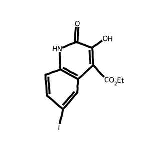 CCOC(=O)c1c(O)c(=O)[nH]c2ccc(I)cc12